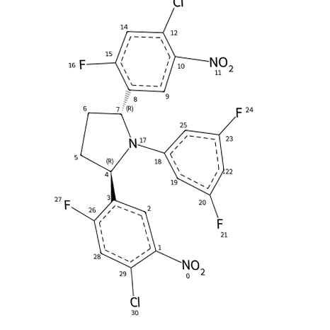 O=[N+]([O-])c1cc([C@H]2CC[C@H](c3cc([N+](=O)[O-])c(Cl)cc3F)N2c2cc(F)[c]c(F)c2)c(F)cc1Cl